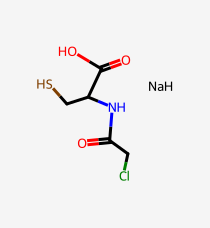 O=C(CCl)NC(CS)C(=O)O.[NaH]